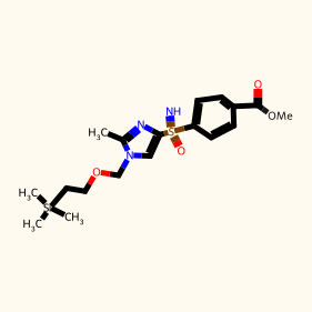 COC(=O)c1ccc(S(=N)(=O)c2cn(COCC[Si](C)(C)C)c(C)n2)cc1